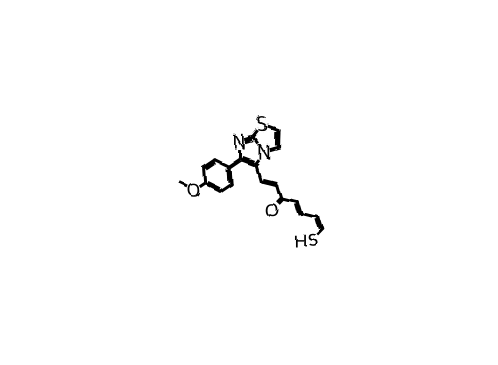 COc1ccc(-c2nc3sccn3c2/C=C/C(=O)/C=C/C=C\S)cc1